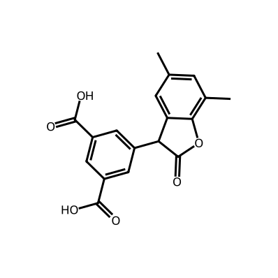 Cc1cc(C)c2c(c1)C(c1cc(C(=O)O)cc(C(=O)O)c1)C(=O)O2